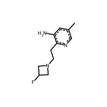 Cc1cnc(CCN2CC(F)C2)c(N)c1